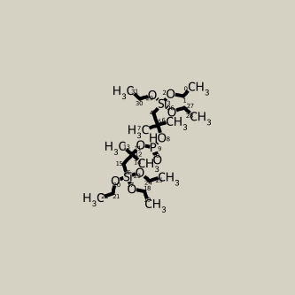 CCO[Si](CC(C)(C)O[PH](=O)OC(C)(C)C[Si](OCC)(OCC)OCC)(OCC)OCC